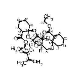 C=C(C)C(=O)OC[C@@]12O[C@@H]3COC4(CCCCC4C(=O)OCC)O[C@H]3[C@@H]1OC1(CCCCC1C(=O)OCC)O2